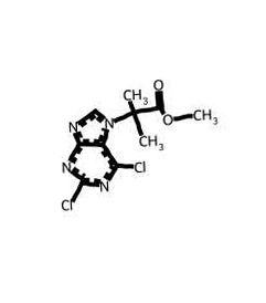 COC(=O)C(C)(C)n1cnc2nc(Cl)nc(Cl)c21